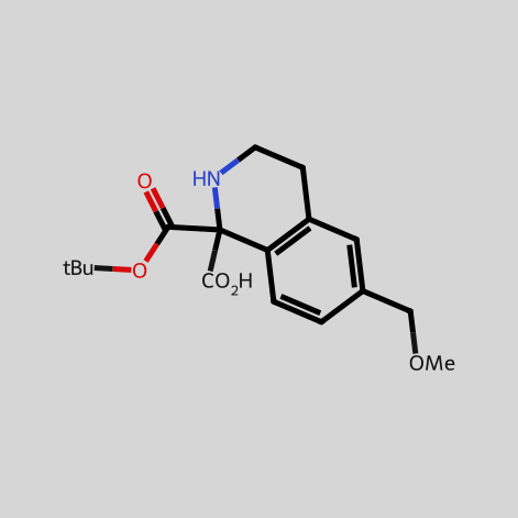 COCc1ccc2c(c1)CCNC2(C(=O)O)C(=O)OC(C)(C)C